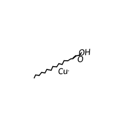 CCCCCCCCCCCCCCC=CC(=O)O.[Cu]